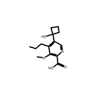 CCCc1c(C2(O)CCC2)cnc(C(=O)O)c1OC